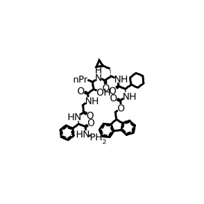 CCCC(NC(=O)[C@H](CC1CC1)NC(=O)[C@@H](NC(=O)OCC1c2ccccc2-c2ccccc21)C1CCCCC1)C(O)C(=O)NCC(=O)N[C@H](C(=O)NP)c1ccccc1